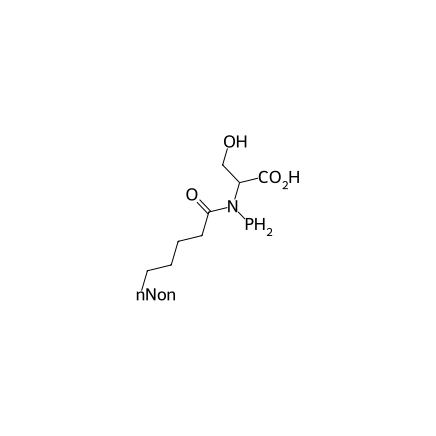 CCCCCCCCCCCCCC(=O)N(P)C(CO)C(=O)O